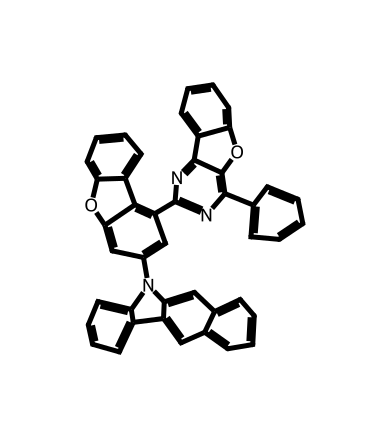 c1ccc(-c2nc(-c3cc(-n4c5ccccc5c5cc6ccccc6cc54)cc4oc5ccccc5c34)nc3c2oc2ccccc23)cc1